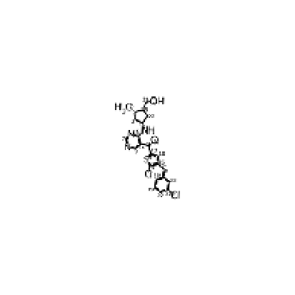 C[C@H]1C[C@H](Nc2ncncc2C(=O)c2cc(Sc3cccc(Cl)c3)c(Cl)s2)C[C@@H]1CO